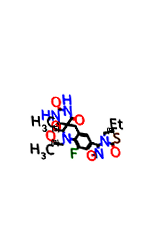 CC[C@@H]1CN(c2noc3c(F)c4c(cc23)CC2(C(=O)NC(=O)NC2=O)C2[C@H](C)O[C@H](C)CN42)C(=O)S1